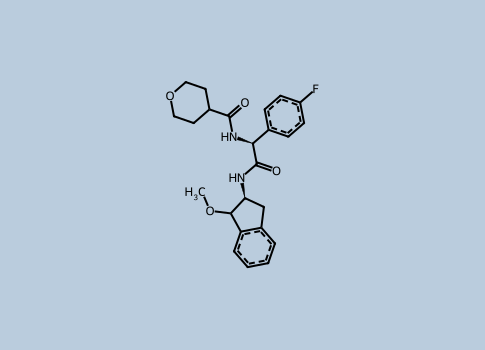 COC1c2ccccc2C[C@@H]1NC(=O)[C@@H](NC(=O)C1CCOCC1)c1ccc(F)cc1